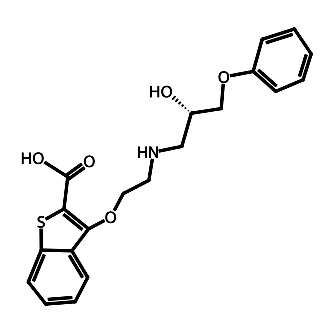 O=C(O)c1sc2ccccc2c1OCCNC[C@H](O)COc1ccccc1